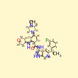 CC(c1cccc(F)c1)c1cc2c(NC(=O)c3ccc(N4CCN(C)CC4)cc3NC3CCOCC3)n[nH]c2cn1